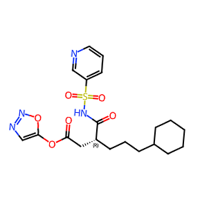 O=C(C[C@@H](CCCC1CCCCC1)C(=O)NS(=O)(=O)c1cccnc1)Oc1cnno1